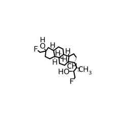 C[C@H]([C@H](O)CF)[C@H]1CC[C@H]2[C@@H]3CC[C@@H]4C[C@@](O)(CF)CC[C@@H]4[C@H]3CC[C@]12C